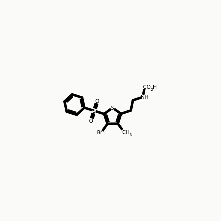 Cc1c(CCNC(=O)O)sc(S(=O)(=O)c2ccccc2)c1Br